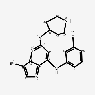 CC(C)c1cnc2c(Nc3cccc(F)c3)cc(SC3CCNCC3)nn12